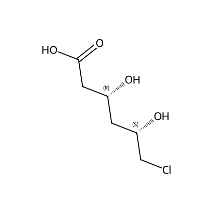 O=C(O)C[C@H](O)C[C@H](O)CCl